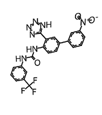 O=C(Nc1cccc(C(F)(F)F)c1)Nc1ccc(-c2cccc([N+](=O)[O-])c2)cc1-c1nnn[nH]1